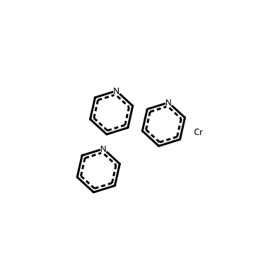 [Cr].c1ccncc1.c1ccncc1.c1ccncc1